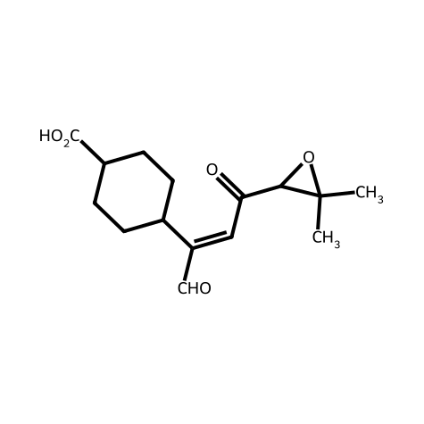 CC1(C)OC1C(=O)/C=C(/C=O)C1CCC(C(=O)O)CC1